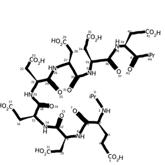 CC(C)N[C@@H](CCC(=O)O)C(=O)N[C@@H](CC(=O)O)C(=O)N[C@@H](CC(=O)O)C(=O)N[C@@H](CC(=O)O)C(=O)N[C@@H](CC(=O)O)C(=O)N[C@@H](CC(=O)O)C(=O)N[C@@H](CC(=O)O)C(=O)C(C)C